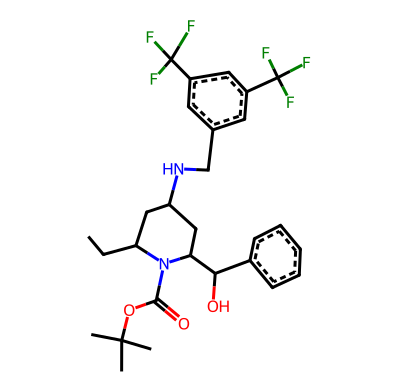 CCC1CC(NCc2cc(C(F)(F)F)cc(C(F)(F)F)c2)CC(C(O)c2ccccc2)N1C(=O)OC(C)(C)C